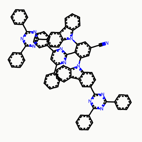 N#Cc1cc(-n2c3ccccc3c3cc(-c4nc(-c5ccccc5)nc(-c5ccccc5)n4)ccc32)c(-c2nc(-c3ccccc3)cc(-c3ccccc3)n2)c(-n2c3ccccc3c3cc(-c4nc(-c5ccccc5)nc(-c5ccccc5)n4)ccc32)c1